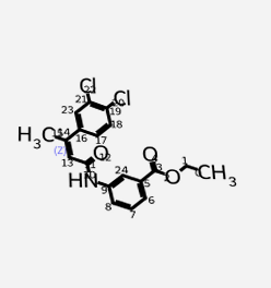 CCOC(=O)c1cccc(NC(=O)/C=C(/C)c2ccc(Cl)c(Cl)c2)c1